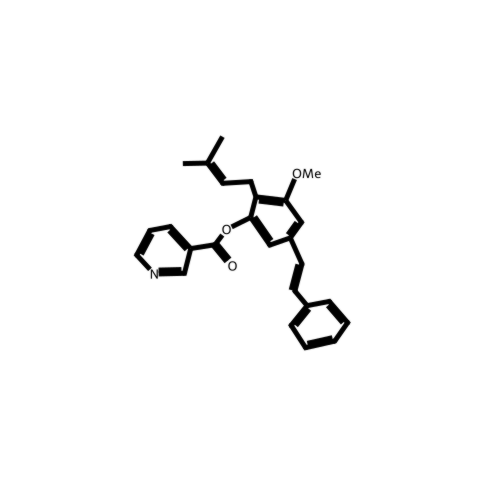 COc1cc(/C=C/c2ccccc2)cc(OC(=O)c2cccnc2)c1CC=C(C)C